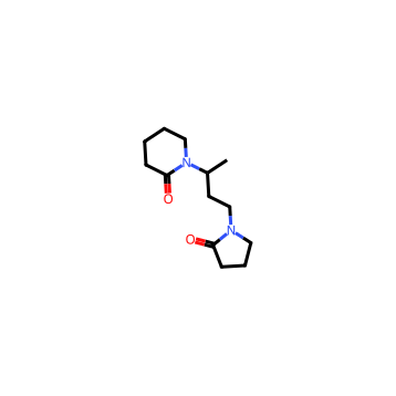 CC(CCN1CCCC1=O)N1CCCCC1=O